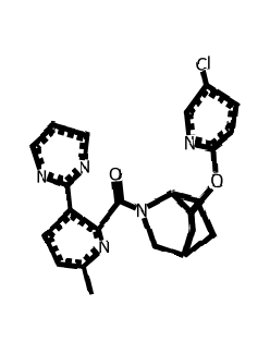 Cc1ccc(-c2ncccn2)c(C(=O)N2CC3CCC2C(Oc2ccc(Cl)cn2)C3)n1